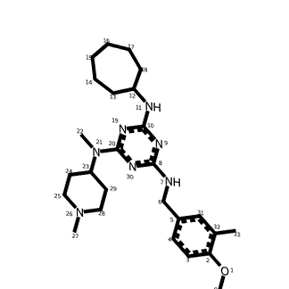 COc1ccc(CNc2nc(NC3CCCCCC3)nc(N(C)C3CCN(C)CC3)n2)cc1C